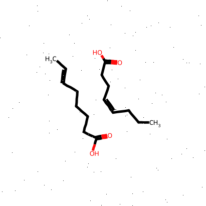 C/C=C/CCCCC(=O)O.CCC/C=C\CCC(=O)O